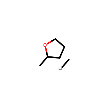 CC1CCCO1.[Li][CH3]